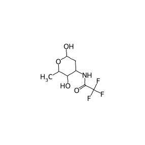 CC1OC(O)CC(NC(=O)C(F)(F)F)C1O